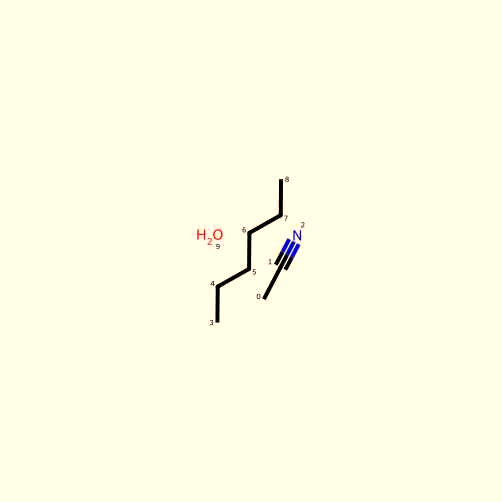 CC#N.CCCCCC.O